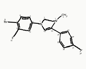 CN1CN(c2ccc(Br)c(F)c2)C=C1c1ccc(F)cc1